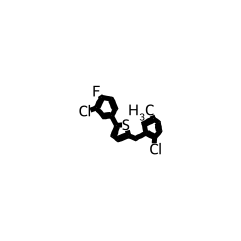 Cc1ccc(Cl)c(Cc2ccc(-c3ccc(F)c(Cl)c3)s2)c1